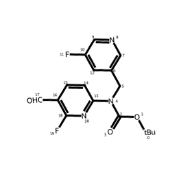 CC(C)(C)OC(=O)N(Cc1cncc(F)c1)c1ccc(C=O)c(F)n1